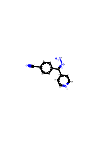 N#Cc1ccc(/C(=N\N)c2ccncc2)cc1